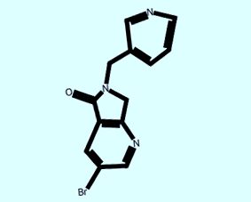 O=C1c2cc(Br)cnc2CN1Cc1cccnc1